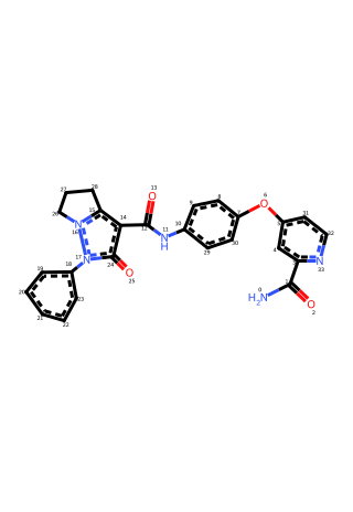 NC(=O)c1cc(Oc2ccc(NC(=O)c3c4n(n(-c5ccccc5)c3=O)CCC4)cc2)ccn1